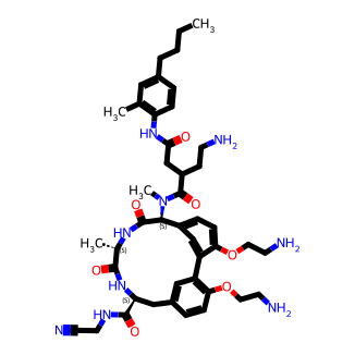 CCCCc1ccc(NC(=O)CC(CCN)C(=O)N(C)[C@@H]2C(=O)N[C@@H](C)C(=O)N[C@H](C(=O)NCC#N)Cc3ccc(OCCN)c(c3)-c3cc2ccc3OCCN)c(C)c1